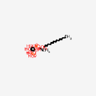 CCCCCCCCCCCCCCCC(=O)O[C@H](CC)COP(=O)(O)OC1C(O)[C@H](OP(=O)(O)O)C(O)[C@H](O)[C@@H]1O